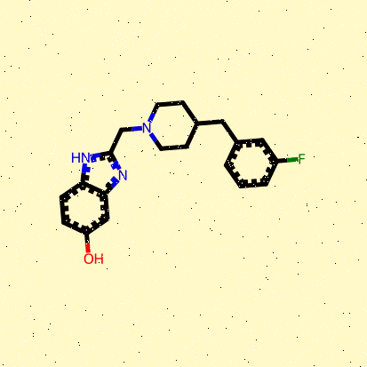 Oc1ccc2[nH]c(CN3CCC(Cc4cccc(F)c4)CC3)nc2c1